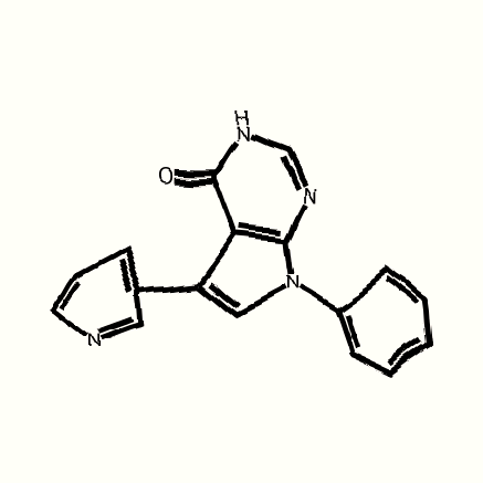 O=c1[nH]cnc2c1c(-c1cccnc1)cn2-c1ccccc1